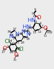 C=CC(=O)Nc1cc(OC(C)C)ccc1Nc1ncc2cc(-c3c(Cl)c(OC)cc(OC)c3Cl)c3nccn3c2n1